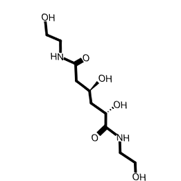 O=C(C[C@@H](O)C[C@H](O)C(=O)NCCO)NCCO